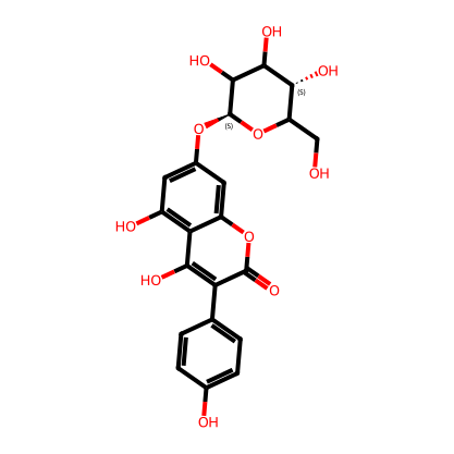 O=c1oc2cc(O[C@@H]3OC(CO)[C@@H](O)C(O)C3O)cc(O)c2c(O)c1-c1ccc(O)cc1